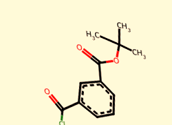 CC(C)(C)OC(=O)c1cccc(C(=O)Cl)c1